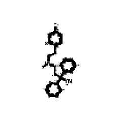 CN(CCc1ccc(F)cc1)CCC(C#N)(c1ccccc1)c1ccccc1